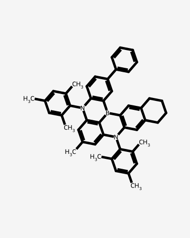 Cc1cc(C)c(N2c3ccc(-c4ccccc4)cc3B3c4cc5c(cc4N(c4c(C)cc(C)cc4C)c4cc(C)cc2c43)CCCC5)c(C)c1